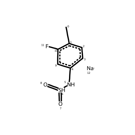 Cc1ccc(N[SH](=O)=O)cc1F.[Na]